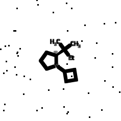 CCC(C)(C)[C@@H]1CCCN1C1CCC1